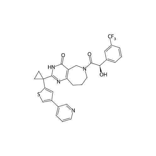 O=C([C@H](O)c1cccc(C(F)(F)F)c1)N1CCCc2nc(C3(c4cc(-c5cccnc5)cs4)CC3)[nH]c(=O)c2C1